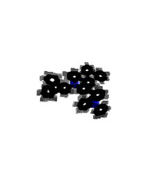 c1ccc(-c2ccccc2-c2ccccc2-c2ccccc2N(c2ccc(-c3cccc4c3c3ccccc3n4-c3ccccc3)cc2)c2ccc3c(c2)C2(CCCCC2)c2ccccc2-3)cc1